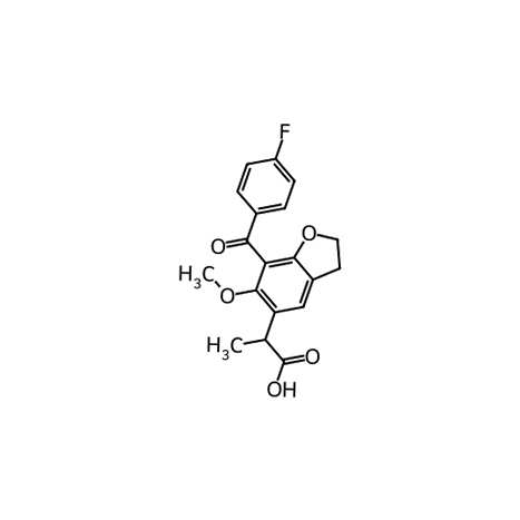 COc1c(C(C)C(=O)O)cc2c(c1C(=O)c1ccc(F)cc1)OCC2